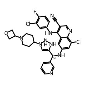 N#Cc1cnc2c(Cl)cc(N[C@H](C3=CN(C4CCN(C5COC5)CC4)NN3)c3cccnc3)cc2c1Nc1ccc(F)c(Cl)c1